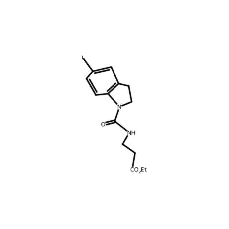 CCOC(=O)CCNC(=O)N1CCc2cc(I)ccc21